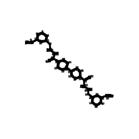 COc1cccc(CNNC(=O)c2ccc(-c3ccc(C(=O)NNCc4cccc(OC)c4)cc3)cc2)c1